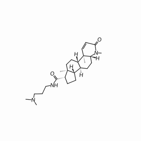 CN(C)CCCNC(=O)[C@H]1CC[C@H]2[C@@H]3CC[C@H]4N(C)C(=O)C=C[C@]4(C)[C@H]3CC[C@]12C